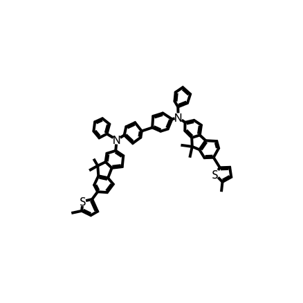 Cc1ccc(-c2ccc3c(c2)C(C)(C)c2cc(N(c4ccccc4)c4ccc(-c5ccc(N(c6ccccc6)c6ccc7c(c6)C(C)(C)c6cc(-c8ccc(C)s8)ccc6-7)cc5)cc4)ccc2-3)s1